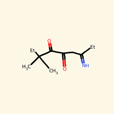 CCC(=N)CC(=O)C(=O)C(C)(C)CC